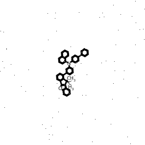 CC1(C)c2c(-c3cccc(N(c4ccc(-c5ccccc5)cc4)c4cccc5ccccc45)c3)cccc2-c2oc3ccccc3c21